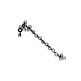 N#Cc1ccc(OC2=CC(=O)N(CCC(=O)NCCOCCOCCOCCOCCOCCOCCOCCOCCC(=O)O)C2=O)cc1